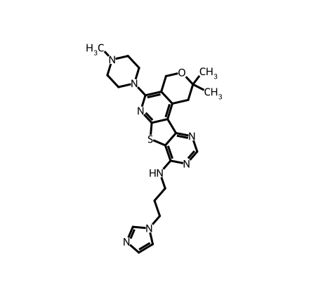 CN1CCN(c2nc3sc4c(NCCCn5ccnc5)ncnc4c3c3c2COC(C)(C)C3)CC1